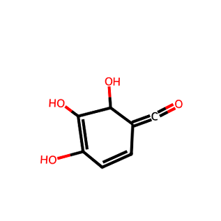 O=C=C1C=CC(O)=C(O)C1O